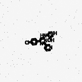 O[C@@H]1CNC[C@@H]1Nc1cc(-c2ccc(Cl)cc2)nc(-c2cccnc2)n1